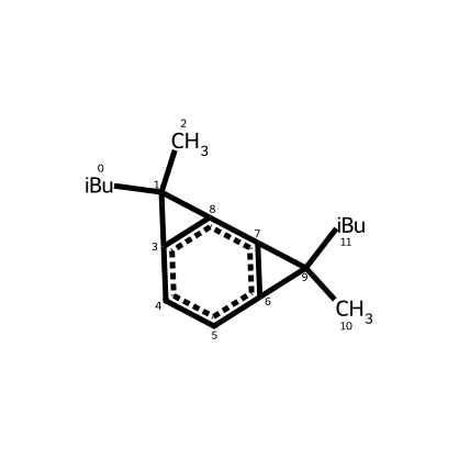 CCC(C)C1(C)c2ccc3c(c21)C3(C)C(C)CC